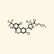 CCOC(=O)C1(C)CC(c2cc(-n3c(=O)cc(C(F)(F)F)[nH]c3=O)c(F)cc2Cl)=NO1